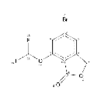 O=C1OCc2cc(Br)cc(OC(F)F)c21